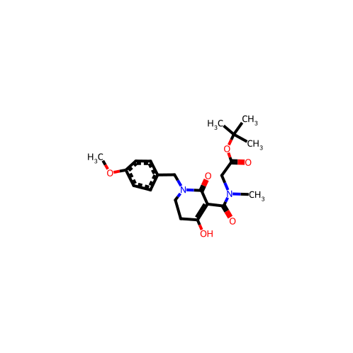 COc1ccc(CN2CCC(O)=C(C(=O)N(C)CC(=O)OC(C)(C)C)C2=O)cc1